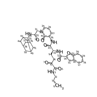 C=CCNC(=O)C(=O)CC[C@H](NC(=O)c1cc2ccccc2o1)C(=O)Nc1cccn(CC(=O)NC2C3CC4CC(C3)CC2C4)c1=O